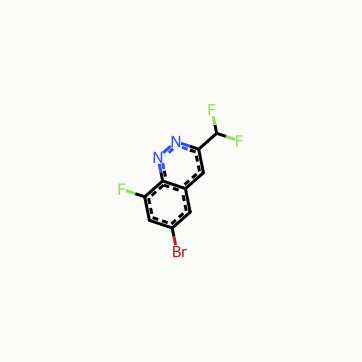 Fc1cc(Br)cc2cc(C(F)F)nnc12